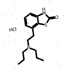 CCCN(CCC)CCc1cccc2[nH]c(=O)sc12.Cl